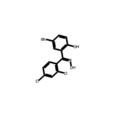 CC(C)(C)c1ccc(O)c(C(=NO)c2ccc(Cl)cc2Cl)c1